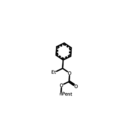 CCCCCOC(=O)OC(CC)c1ccccc1